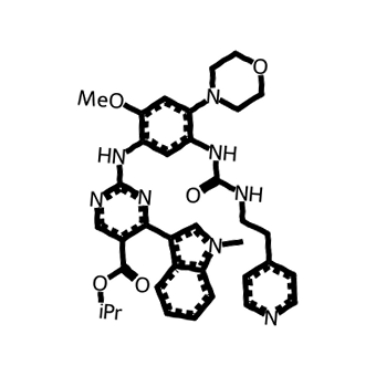 COc1cc(N2CCOCC2)c(NC(=O)NCCc2ccncc2)cc1Nc1ncc(C(=O)OC(C)C)c(-c2cn(C)c3ccccc23)n1